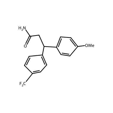 COc1ccc(C(CC(N)=O)c2ccc(C(F)(F)F)cc2)cc1